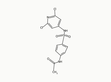 CC(=O)Nc1ccc(S(=O)(=O)Nc2cc(Cl)nc(Cl)c2)cc1